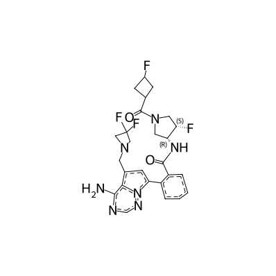 Nc1ncnn2c(-c3ccccc3C(=O)N[C@@H]3CN(C(=O)C4CC(F)C4)C[C@@H]3F)cc(CN3CC(F)(F)C3)c12